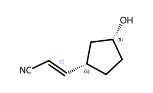 N#C/C=C/[C@H]1CC[C@@H](O)C1